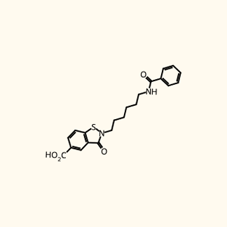 O=C(O)c1ccc2sn(CCCCCCNC(=O)c3ccccc3)c(=O)c2c1